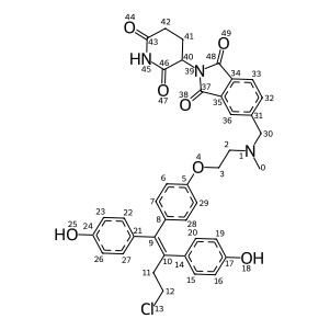 CN(CCOc1ccc(C(=C(CCCl)c2ccc(O)cc2)c2ccc(O)cc2)cc1)Cc1ccc2c(c1)C(=O)N(C1CCC(=O)NC1=O)C2=O